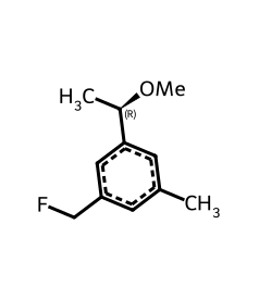 CO[C@H](C)c1cc(C)cc(CF)c1